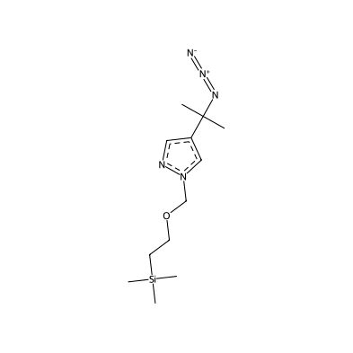 CC(C)(N=[N+]=[N-])c1cnn(COCC[Si](C)(C)C)c1